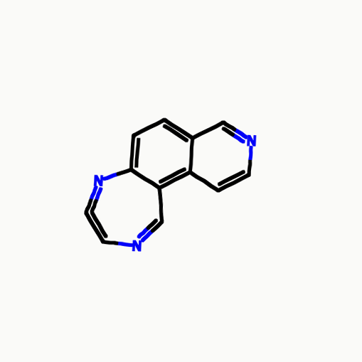 C1=CN=Cc2c(ccc3cnccc23)N=1